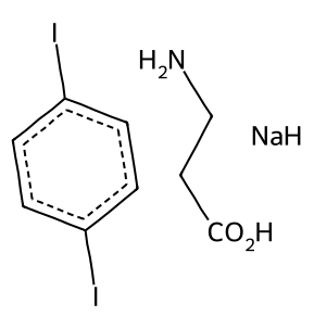 Ic1ccc(I)cc1.NCCC(=O)O.[NaH]